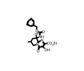 CCCC1(NC(=O)OCc2ccccc2)CC(C)Cn2c1nc(C(=O)OCC)c(O)c2=O